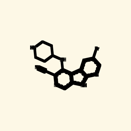 N#Cc1ncc2[nH]c3ncc(Br)cc3c2c1NC1CCNCC1